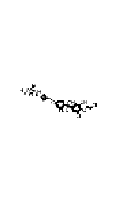 CC(C)(c1ccc(OC[C@H]2C[C@@H](CNS(C)(=O)=O)C2)cc1)c1cc(Cl)c(OCCCl)c(C#N)c1